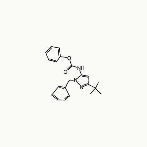 CC(C)(C)c1cc(NC(=O)Oc2ccccc2)n(Cc2ccccc2)n1